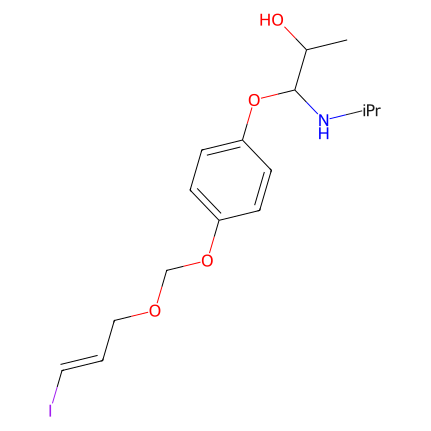 CC(C)NC(Oc1ccc(OCOCC=CI)cc1)C(C)O